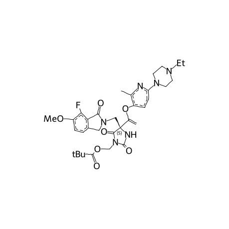 C=C(Oc1ccc(N2CCN(CC)CC2)nc1C)[C@]1(CN2Cc3ccc(OC)c(F)c3C2=O)NC(=O)N(COC(=O)C(C)(C)C)C1=O